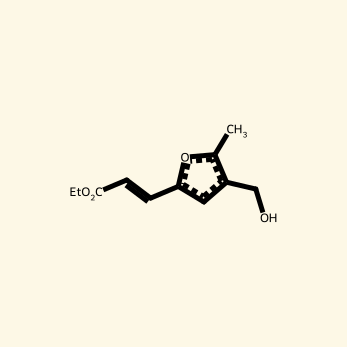 CCOC(=O)C=Cc1cc(CO)c(C)o1